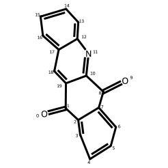 O=C1c2ccccc2C(=O)c2nc3ccccc3cc21